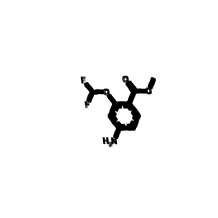 COC(=O)c1ccc(N)cc1OC(F)F